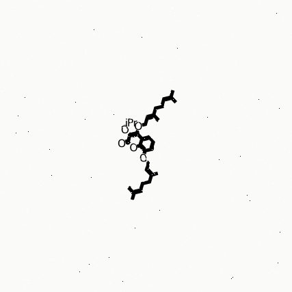 CC(C)=CCC/C(C)=C/COc1c(OC(C)C)c(=O)oc2c(OC/C=C(\C)CCC=C(C)C)cccc12